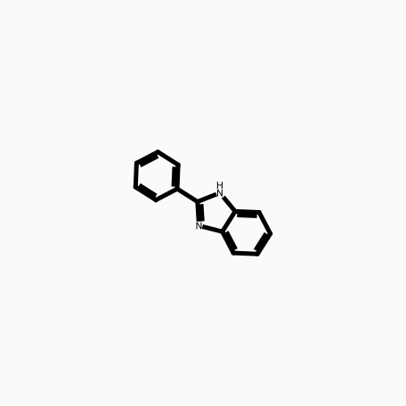 [c]1ccccc1-c1nc2ccccc2[nH]1